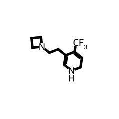 FC(F)(F)C1=CCNC=C1CCN1CCC1